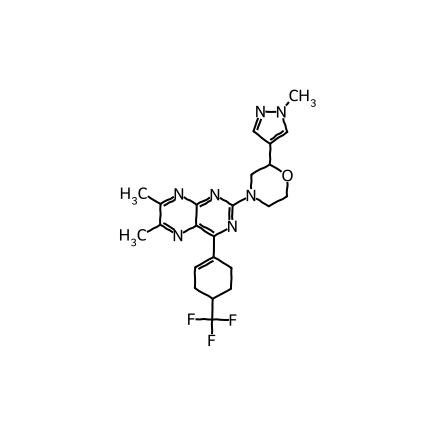 Cc1nc2nc(N3CCOC(c4cnn(C)c4)C3)nc(C3=CCC(C(F)(F)F)CC3)c2nc1C